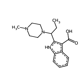 CCC(c1[nH]c2ccccc2c1C(=O)O)N1CCN(C)CC1